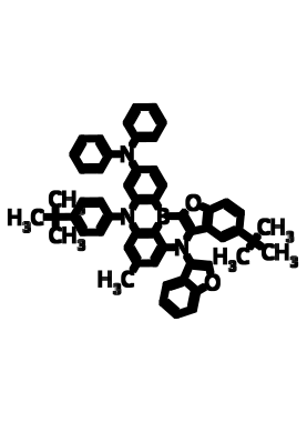 Cc1cc2c3c(c1)N(c1coc4ccccc14)c1c(oc4ccc(C(C)(C)C)cc14)B3c1ccc(N(c3ccccc3)c3ccccc3)cc1N2c1ccc(C(C)(C)C)cc1